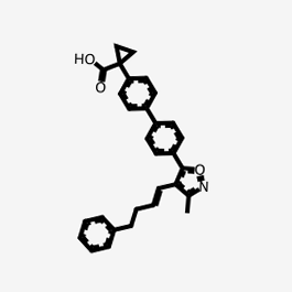 Cc1noc(-c2ccc(-c3ccc(C4(C(=O)O)CC4)cc3)cc2)c1C=CCCc1ccccc1